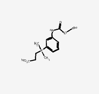 CC(C)(C)OC(=O)Nc1cccc([N+](C)(C)CCC(=O)O)c1